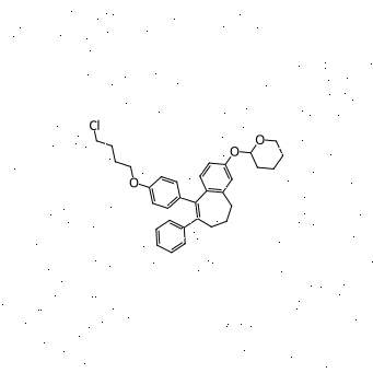 ClCCCCOc1ccc(C2=C(c3ccccc3)CCCc3cc(OC4CCCCO4)ccc32)cc1